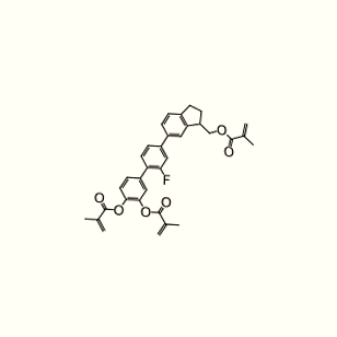 C=C(C)C(=O)OCC1CCc2ccc(-c3ccc(-c4ccc(OC(=O)C(=C)C)c(OC(=O)C(=C)C)c4)c(F)c3)cc21